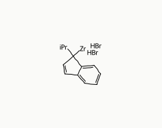 Br.Br.CC(C)[C]1([Zr])C=Cc2ccccc21